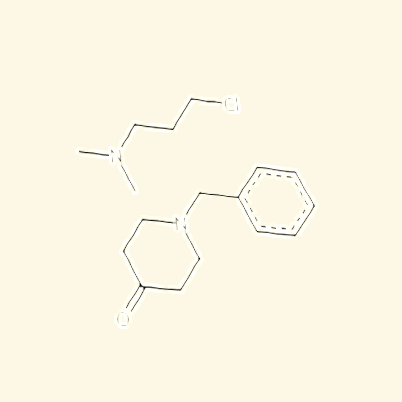 CN(C)CCCCl.O=C1CCN(Cc2ccccc2)CC1